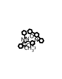 C[Si]1(C)c2ccccc2-c2nc(-c3ccccc3)nc(-c3cccc(-n4c5ccccc5c5ccc6c7ccccc7oc6c54)c3)c21